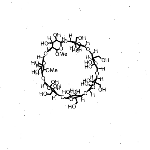 COC1O[C@@H]2O[C@@H]3C(OC)O[C@H](O[C@@H]4C(CO)O[C@H](O[C@@H]5C(CO)O[C@H](O[C@@H]6C(CO)O[C@H](O[C@@H]7C(CO)OC(C[C@@H]8C(CO)O[C@H](O[C@H]1[C@H](O)C2O)C(O)[C@H]8O)[C@@H](O)[C@H]7O)C(O)[C@H]6O)C(O)[C@H]5O)C(O)[C@H]4O)C(O)[C@H]3O